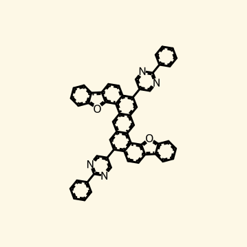 c1ccc(-c2ncc(-c3cc4cc5c(cc(-c6cnc(-c7ccccc7)nc6)c6ccc7c8ccccc8oc7c65)cc4c4c3ccc3c5ccccc5oc34)cn2)cc1